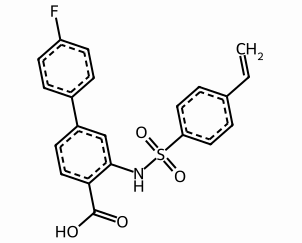 C=Cc1ccc(S(=O)(=O)Nc2cc(-c3ccc(F)cc3)ccc2C(=O)O)cc1